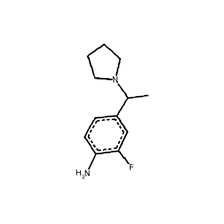 CC(c1ccc(N)c(F)c1)N1CCCC1